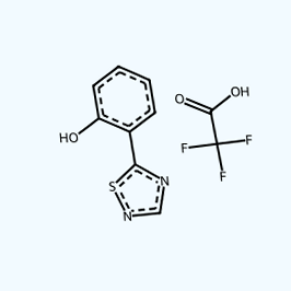 O=C(O)C(F)(F)F.Oc1ccccc1-c1ncns1